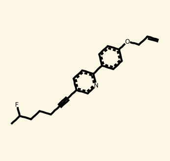 C=CCOc1ccc(-c2ccc(C#CCCCC(C)F)cn2)cc1